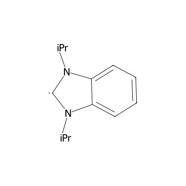 CC(C)N1[CH]N(C(C)C)c2ccccc21